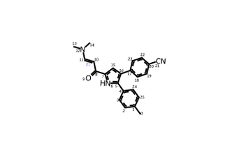 Cc1ccc(-c2[nH]c(C(=O)/C=C/N(C)C)cc2-c2ccc(C#N)cc2)cc1